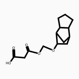 O=C(O)CC(=O)OCOC1CC2CC1C1CCCC21